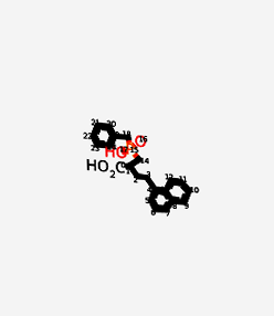 O=C(O)C(CCc1cccc2ccccc12)CP(=O)(O)Cc1ccccc1